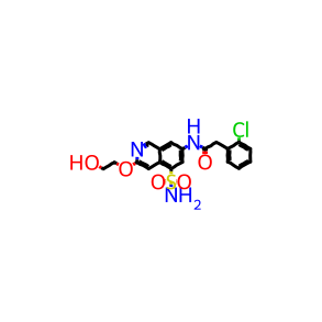 NS(=O)(=O)c1cc(NC(=O)Cc2ccccc2Cl)cc2cnc(OCCO)cc12